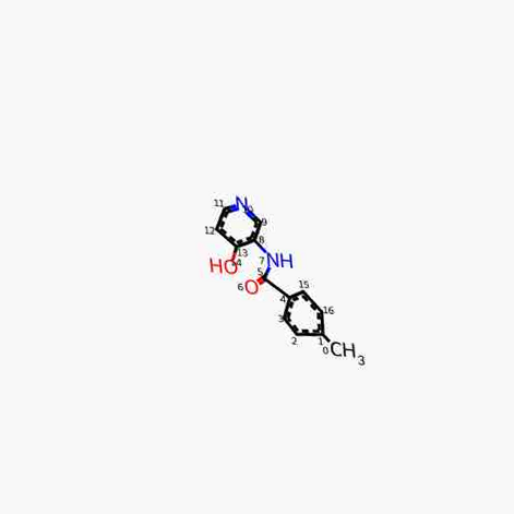 Cc1ccc(C(=O)Nc2cnccc2O)cc1